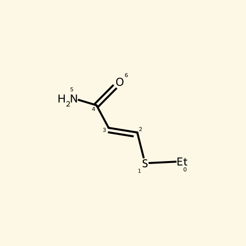 CCSC=CC(N)=O